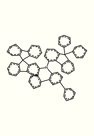 c1ccc(-c2ccc(N(c3ccc4c(c3)C3(c5ccccc5-c5ccccc53)c3ccccc3-4)c3cccc4c3-c3ccccc3C4(c3ccccc3)c3ccccc3)c(-c3ccccc3)c2)cc1